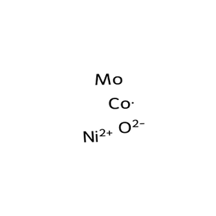 [Co].[Mo].[Ni+2].[O-2]